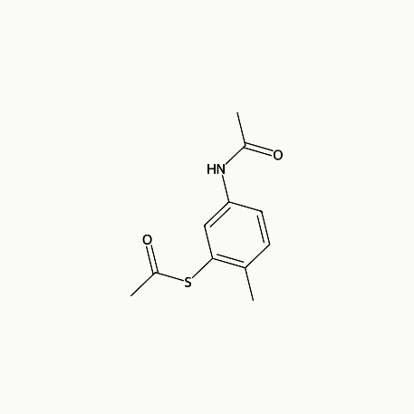 CC(=O)Nc1ccc(C)c(SC(C)=O)c1